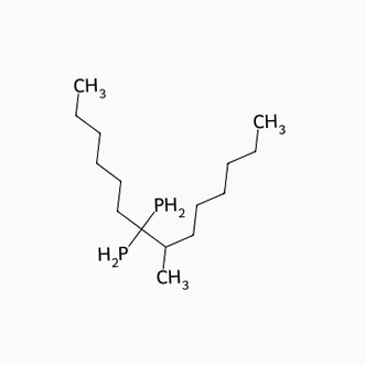 CCCCCCC(C)C(P)(P)CCCCCC